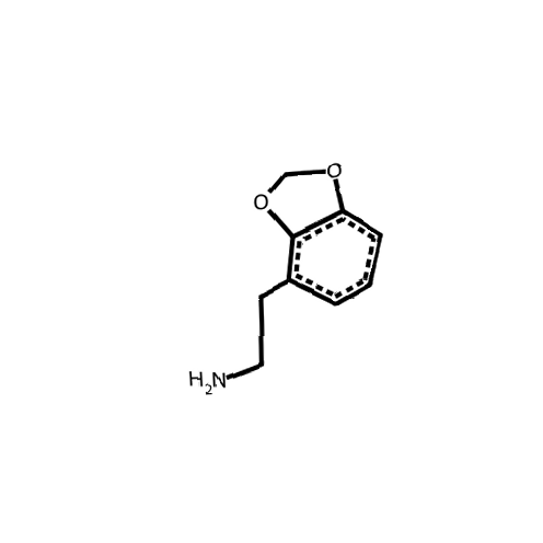 NCCc1cccc2c1OCO2